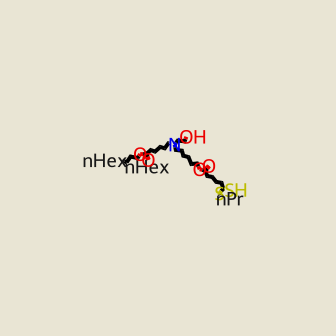 CCCCCCC(CCCCCC)CCOC(=O)CCCCCN(CCO)CCCCCCOC(=O)CCCCC(S)SCCC